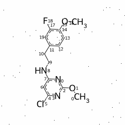 COc1nc(Cl)cc(NCCc2ccc(OC)c(F)c2)n1